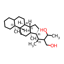 CC(O)C(CO)[C@@H](C)[C@H]1CC[C@H]2[C@@H]3CCC4CCCC[C@]4(C)[C@H]3CC[C@]12C